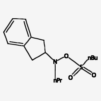 CCCCS(=O)(=O)ON(CCC)C1Cc2ccccc2C1